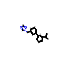 C=C(C)c1cccc(-c2cccc(Cn3cncn3)c2)c1